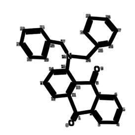 O=C1c2ccccc2C(=O)c2c1cccc2N(Cc1ccccc1)Cc1ccccc1